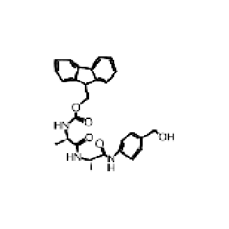 C[C@@H](NC(=O)OCC1c2ccccc2-c2ccccc21)C(=O)N[C@H](C)C(=O)Nc1ccc(CO)cc1